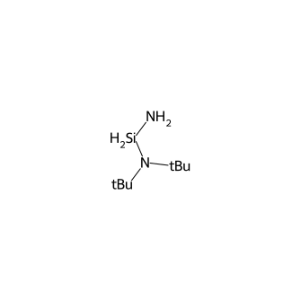 CC(C)(C)N([SiH2]N)C(C)(C)C